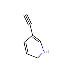 [C]#CC1=CNCC=C1